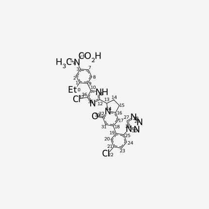 CCc1cc(N(C)C(=O)O)ccc1-c1[nH]c(C2CCc3cc(-c4cc(Cl)ccc4-n4cnnn4)cc(=O)n32)nc1Cl